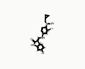 CCCN(CC1CC1)c1ccc(N/C=C2/C(=O)Nc3cc(F)ccc32)cc1F